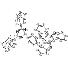 c1cc(-c2nc(C34CC5CC(CC(C5)C3)C4)nc(C34CC5CC(CC(C5)C3)C4)n2)cc(-n2c3ccccc3c3c4oc5ccccc5c4c4sc5ccccc5c4c32)c1